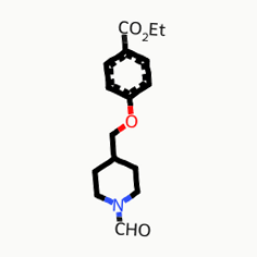 CCOC(=O)c1ccc(OCC2CCN(C=O)CC2)cc1